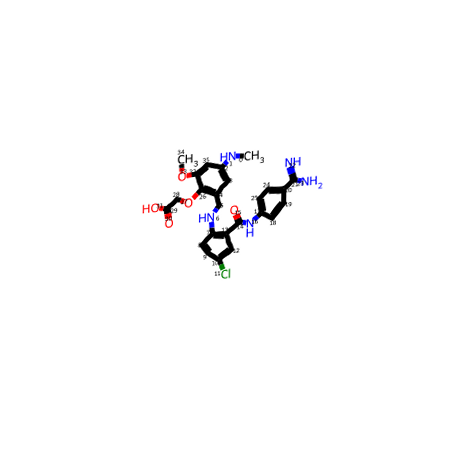 CNc1cc(CNc2ccc(Cl)cc2C(=O)Nc2ccc(C(=N)N)cc2)c(OCC(=O)O)c(OC)c1